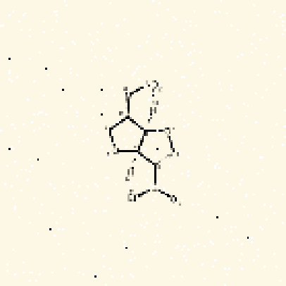 CC[S@+]([O-])[C@H]1CO[C@H]2[C@@H]1OC[C@H]2O[N+](=O)[O-]